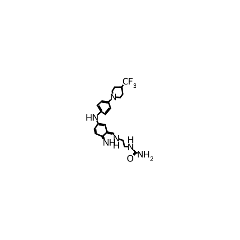 N=C1C=CC(Nc2ccc(N3CCC(C(F)(F)F)CC3)cc2)=C/C1=C/NCCNC(N)=O